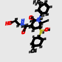 Cc1c([S+]([O-])c2ccc(C#N)cc2)cc(C(=O)NCCO)c(=O)n1-c1cccc(C(F)(F)F)c1